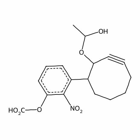 CC(O)OC1C#CCCCCC1c1cccc(OC(=O)O)c1[N+](=O)[O-]